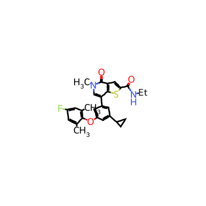 CCNC(=O)c1cc2c(=O)n(C)cc(-c3cc(Oc4c(C)cc(F)cc4C)cc(C4CC4)c3)c2s1